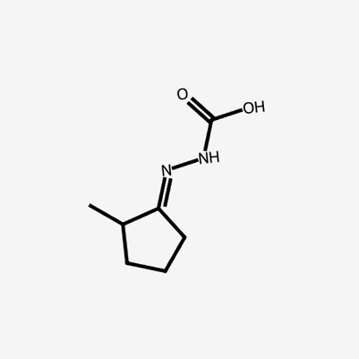 CC1CCCC1=NNC(=O)O